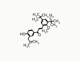 COc1c(C=CC(=O)c2ccc(O)c(CN(C)C)c2)cc(C(C)(C)C)cc1C(C)(C)C